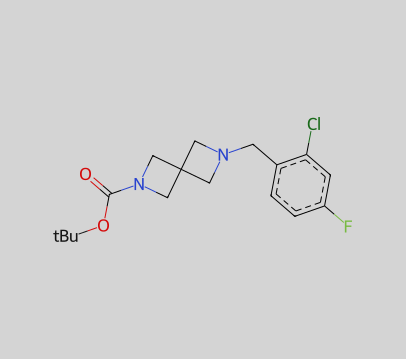 CC(C)(C)OC(=O)N1CC2(CN(Cc3ccc(F)cc3Cl)C2)C1